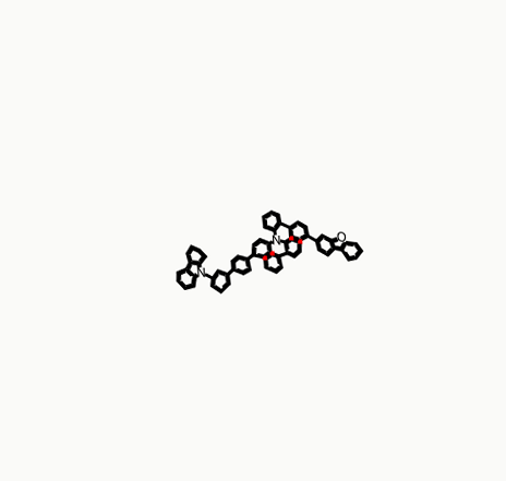 c1ccc(-c2ccccc2N(c2ccc(-c3ccc(-c4cccc(-n5c6ccccc6c6ccccc65)c4)cc3)cc2)c2ccccc2-c2ccc(-c3ccc4c(c3)oc3ccccc34)cc2)cc1